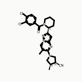 Cc1cn2nc([C@@H]3CCCCN3C(=O)c3ccc(Cl)c(Cl)c3)cc2nc1N1C[C@@H](C#N)[C@@H](C)C1